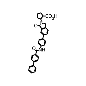 O=C(Nc1ccc(-c2ccc3c(c2)C(=O)N(C2CCCC2C(=O)O)C3)cc1)c1ccc(-c2ccccc2)cc1